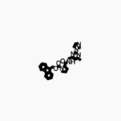 Cc1cc(CNC(=O)C2CCCN2C(=O)OCC2c3ccccc3-c3ccccc32)nc(-n2ccnc2)n1